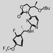 C[C@H](Nc1nccc(N2C(=O)OCC2[C@@H](C)OC(C)(C)C)n1)c1ccc(OC(F)(F)F)cc1F